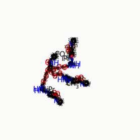 CC(C)N(CC1=CN(CCOCCOCCOc2cc(C(=O)NCc3ccc(C(=O)O)cc3)cc(OCCOCCOCCN3C=C(CN(c4ccc5cc(-c6nc7ccccc7s6)c(=O)oc5c4)C(C)C)NN3)c2OCCOCCOCCN2C=C3CN(c4ccc5cc(-c6nc7ccccc7s6)c(=O)oc5c4)C(C)N3N2)NN1)c1ccc2cc(-c3nc4ccccc4s3)c(=O)oc2c1